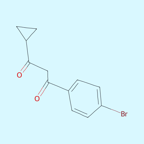 O=C(CC(=O)C1CC1)c1ccc(Br)cc1